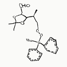 C[C@@H](COO[Si](c1ccccc1)(c1ccccc1)C(C)(C)C)C1OC(C)(C)OC1C=O